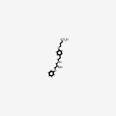 CCOC(=O)CCCOc1ccc(CCNC[C@H](O)COc2ccccc2)cc1